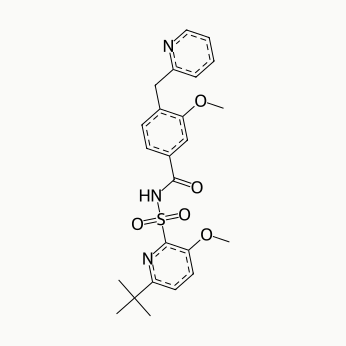 COc1cc(C(=O)NS(=O)(=O)c2nc(C(C)(C)C)ccc2OC)ccc1Cc1ccccn1